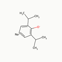 CC(C)c1cccc(C(C)C)c1[O-].[Na+]